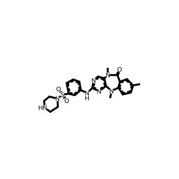 Cc1ccc2c(c1)C(=O)N(C)c1cnc(Nc3cccc(S(=O)(=O)N4CCNCC4)c3)nc1N2C